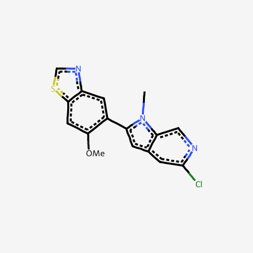 COc1cc2scnc2cc1-c1cc2cc(Cl)ncc2n1C